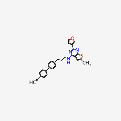 C#Cc1ccc(-c2ccc(CCCNc3nc(-c4ccoc4)nc4sc(C)cc34)cc2)cc1